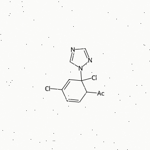 CC(=O)C1C=CC(Cl)=CC1(Cl)n1cncn1